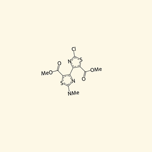 CNc1nc(-c2nc(Cl)sc2C(=O)OC)c(C(=O)OC)s1